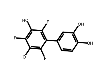 Oc1ccc(-c2c(F)c(O)c(F)c(O)c2F)cc1O